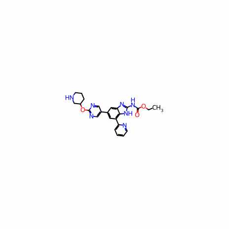 CCOC(=O)Nc1nc2cc(-c3cnc(OC4CCCNC4)nc3)cc(-c3ccccn3)c2[nH]1